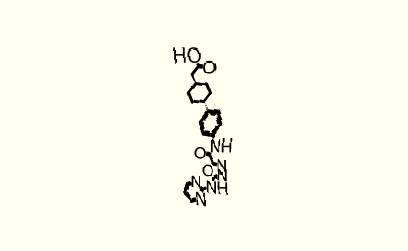 O=C(O)C[C@H]1CC[C@H](c2ccc(NC(=O)c3nnc(Nc4ncccn4)o3)cc2)CC1